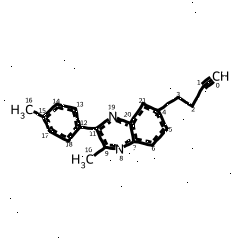 C#CCCc1ccc2nc(C)c(-c3ccc(C)cc3)nc2c1